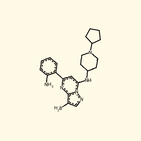 Bc1cnn2c(NC3CCN(C4CCCC4)CC3)cc(-c3ccccc3N)nc12